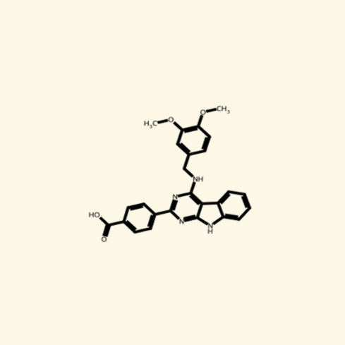 COc1ccc(CNc2nc(-c3ccc(C(=O)O)cc3)nc3[nH]c4ccccc4c23)cc1OC